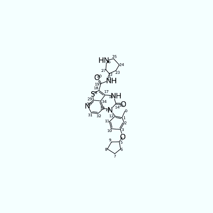 Cc1cc(OC2CCCC2)ccc1N1C(=O)Nc2c(C(=O)NC3CCCNC3)sc3nccc1c23